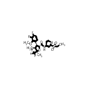 CCS(=O)(=O)c1cc(NC(=O)[C@@H]2O[C@@](C)(C(F)(F)F)[C@@H](C)[C@H]2c2ccc(F)c(F)c2OC)ccn1